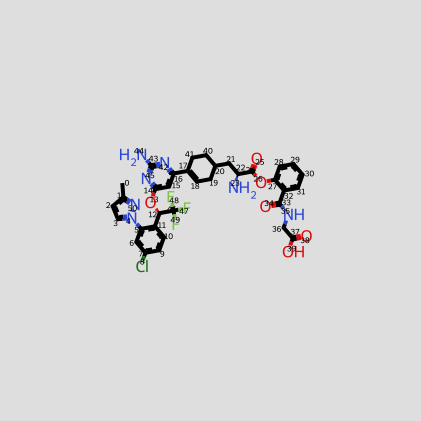 Cc1ccn(-c2cc(Cl)ccc2[C@@H](Oc2cc(C3=CCC(C[C@H](N)C(=O)Oc4ccccc4C(=O)NCC(=O)O)CC3)nc(N)n2)C(F)(F)F)n1